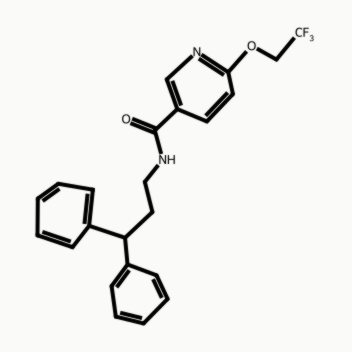 O=C(NCCC(c1ccccc1)c1ccccc1)c1ccc(OCC(F)(F)F)nc1